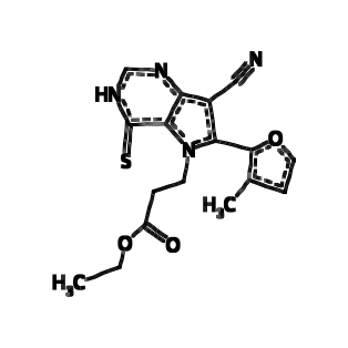 CCOC(=O)CCn1c(-c2occc2C)c(C#N)c2nc[nH]c(=S)c21